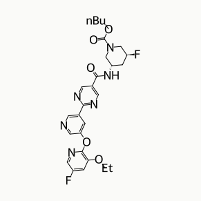 CCCCOC(=O)N1C[C@@H](F)C[C@H](NC(=O)c2cnc(-c3cncc(Oc4ncc(F)cc4OCC)c3)nc2)C1